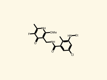 CCNc1cc(Cl)cc(C(=O)NCc2c(OC)[nH]c(C)c(F)c2=O)c1C